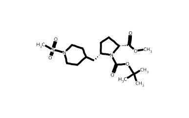 COC(=O)[C@H]1CC[C@@H](CC2CCN(S(C)(=O)=O)CC2)N1C(=O)OC(C)(C)C